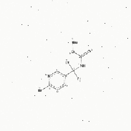 CCC(CC)(NC(=O)OC(C)(C)C)c1ccc(Br)nc1